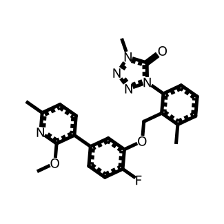 COc1nc(C)ccc1-c1ccc(F)c(OCc2c(C)cccc2-n2nnn(C)c2=O)c1